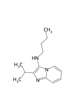 CCCCNc1c(C(C)C)nc2ccccn12